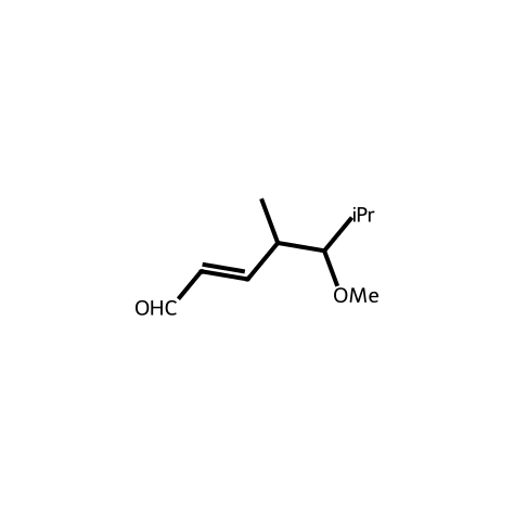 COC(C(C)C)C(C)C=CC=O